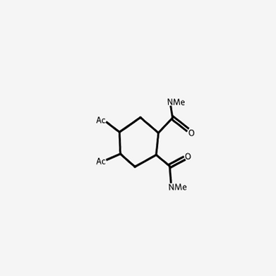 CNC(=O)C1CC(C(C)=O)C(C(C)=O)CC1C(=O)NC